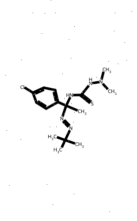 CN(C)NC(=S)NC(C)(N=NC(C)(C)C)c1ccc(Cl)cc1